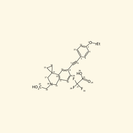 CCOc1ccc(C#Cc2ccc3c(c2)C2(CC2)CN(CC(=O)O)C3)cc1.O=C(O)C(F)(F)F